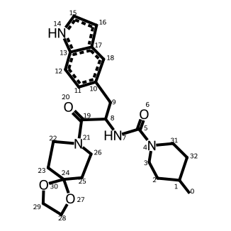 CC1CCN(C(=O)NC(Cc2ccc3[nH]ccc3c2)C(=O)N2CCC3(CC2)OCCO3)CC1